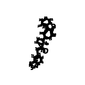 O=C(Cc1ccc2nsnc2c1)N1CCC(c2ccc3oc4ccccc4c3c2)=N1